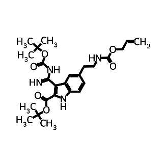 C=CCOC(=O)NCCc1ccc2[nH]c(C(=O)OC(C)(C)C)c(C(=N)NC(=O)OC(C)(C)C)c2c1